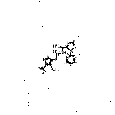 Cc1c(NC(=O)NC(C)c2ncnn2-c2ncccn2)cnn1C(F)F